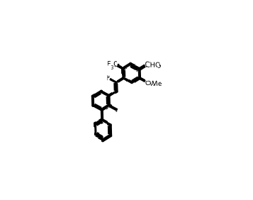 COc1cc(/C(F)=C/c2cccc(-c3ccccc3)c2C)c(C(F)(F)F)cc1C=O